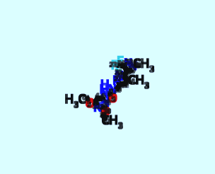 CCOc1cc(NC(=O)NCc2cc(C)c(-c3cn(C)nc3C(F)(F)F)nn2)nc(OCC)n1